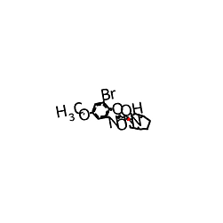 COc1cc(Br)c2oc(N3CC4CCC(C3)N4C(=O)O)nc2c1